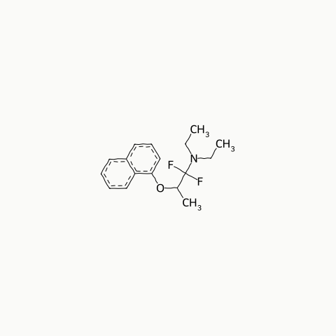 CCN(CC)C(F)(F)C(C)Oc1cccc2ccccc12